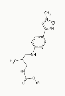 CC(CNC(=O)OC(C)(C)C)CNc1ccc(-c2cn(C)nn2)cn1